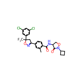 Cc1cc(C2=NOC(c3cc(Cl)cc(Cl)c3)(C(F)(F)F)C2)ccc1C(=O)NC1CON(C2CCC2)C1=O